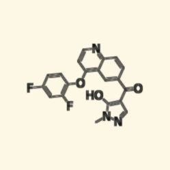 Cn1ncc(C(=O)c2ccc3nccc(Oc4ccc(F)cc4F)c3c2)c1O